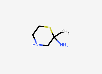 CC1(N)CNCCS1